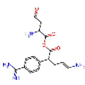 N=C(N)c1ccc(C(CC=CN)C(=O)OC(=O)C(N)CC=O)cc1